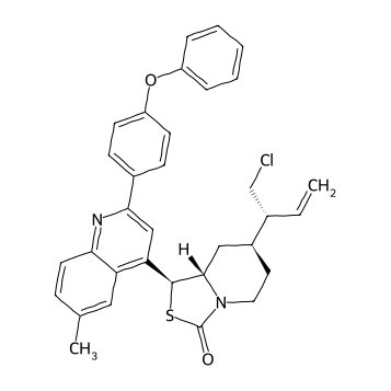 C=C[C@@H](CCl)[C@H]1CCN2C(=O)S[C@@H](c3cc(-c4ccc(Oc5ccccc5)cc4)nc4ccc(C)cc34)[C@@H]2C1